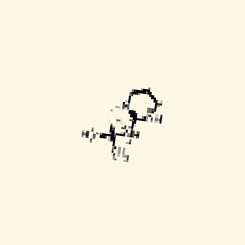 CC(C)(C)NC1=NCCCN1